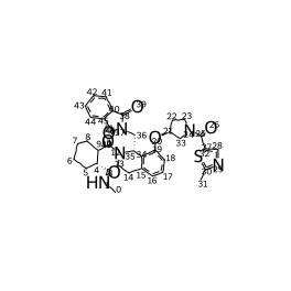 CNC(=O)[C@@H]1CCCCC1C(=O)N1CCc2cccc(O[C@H]3CCN(C(=O)c4cnc(C)s4)C3)c2[C@H]1CN1C(=O)c2ccccc2C1=O